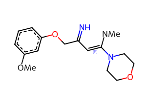 CN/C(=C\C(=N)COc1cccc(OC)c1)N1CCOCC1